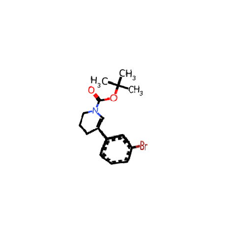 CC(C)(C)OC(=O)N1C=C(c2cccc(Br)c2)CCC1